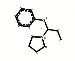 CCC(Sc1ccccc1)N1CCCC1